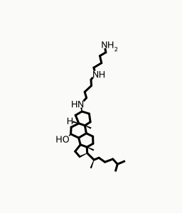 CC(C)CCC[C@@H](C)[C@H]1CCC2C3C(CC[C@@]21C)[C@@]1(C)CC[C@H](NCCCCNCCCCN)C[C@H]1C[C@H]3O